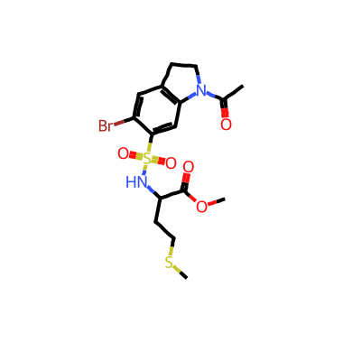 COC(=O)C(CCSC)NS(=O)(=O)c1cc2c(cc1Br)CCN2C(C)=O